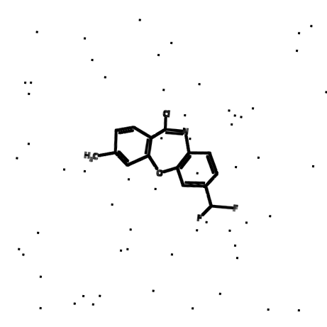 Cc1ccc2c(c1)Oc1cc(C(F)F)ccc1N=C2Cl